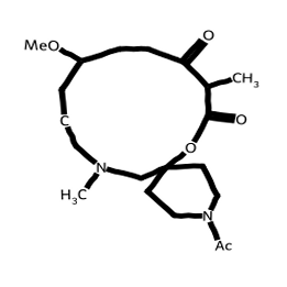 COC1CCCN(C)CC2(CCN(C(C)=O)CC2)OC(=O)C(C)C(=O)CC1